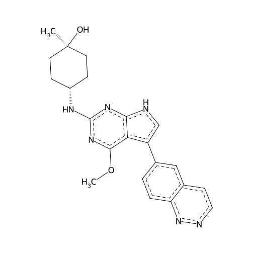 COc1nc(N[C@H]2CC[C@](C)(O)CC2)nc2[nH]cc(-c3ccc4nnccc4c3)c12